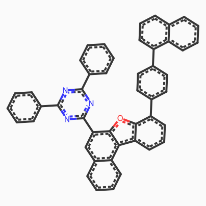 c1ccc(-c2nc(-c3ccccc3)nc(-c3cc4ccccc4c4c3oc3c(-c5ccc(-c6cccc7ccccc67)cc5)cccc34)n2)cc1